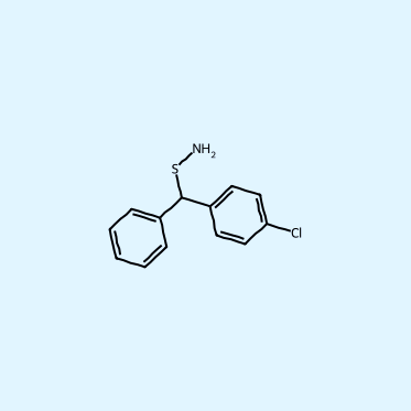 NSC(c1ccccc1)c1ccc(Cl)cc1